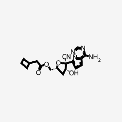 N#C[C@@]1(c2ccc3c(N)ncnn23)O[C@@H](COC(=O)CC2CCC2)[CH][C@H]1O